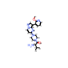 COc1ncccc1-c1cnn2ccc(N3CCN(C(=O)[C@@H](N)C(C)C)CC3)nc12